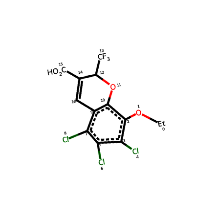 CCOc1c(Cl)c(Cl)c(Cl)c2c1OC(C(F)(F)F)C(C(=O)O)=C2